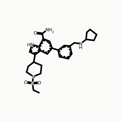 CCS(=O)(=O)N1CCC(c2c[nH]c3c(C(N)=O)cc(-c4cccc(CNC5CCCC5)c4)cc23)CC1